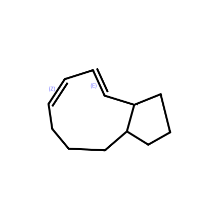 C1=C\CCCC2CCC[C]2/C=C/1